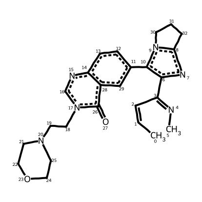 C/C=C\C(=N/C)c1nc2n(c1-c1ccc3ncn(CCN4CCOCC4)c(=O)c3c1)CCC2